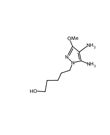 COc1nn(CCCCCO)c(N)c1N